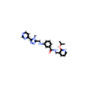 CC(C)Oc1ncccc1CNC(=O)c1cccc(NCc2nnc(-c3ccncn3)n2C)c1